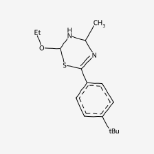 CCOC1NC(C)N=C(c2ccc(C(C)(C)C)cc2)S1